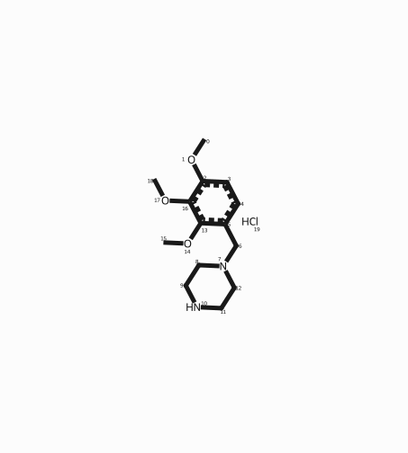 COc1ccc(CN2CCNCC2)c(OC)c1OC.Cl